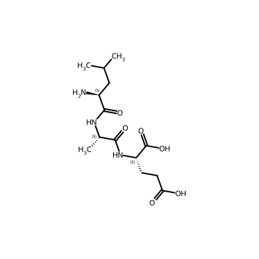 CC(C)C[C@H](N)C(=O)N[C@@H](C)C(=O)N[C@@H](CCC(=O)O)C(=O)O